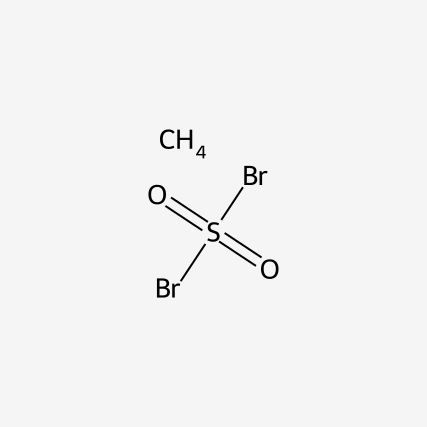 C.O=S(=O)(Br)Br